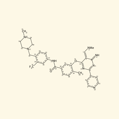 CN/C=C1\C(=N)N=C(c2ccncc2)N=C1Oc1cc(C(=O)Nc2ccc(CN3CCN(C)CC3)c(C(F)(F)F)c2)ccc1C